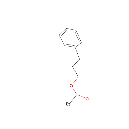 CCC([O])OCCCc1ccccc1